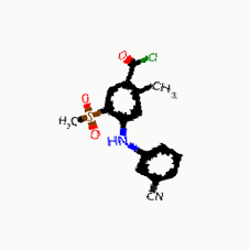 Cc1cc(Nc2cccc(C#N)c2)c(S(C)(=O)=O)cc1C(=O)Cl